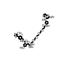 CCCc1cc(N[C@@H]2CCC(NC(=O)CCOCCOCCOCCOCCN[C@H](C(=O)C3C[C@H](O)C[C@H]3C(=O)NCc3ccc(-c4scnc4C)cc3)C(C)(C)C)C2)n2nccc2n1